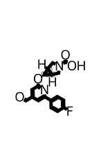 O=Cc1cc(O[C@@H]2[C@@H]3CN(C(=O)O)C[C@@H]32)nc(-c2ccc(F)cc2)c1